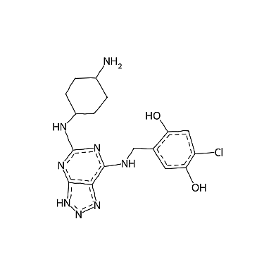 NC1CCC(Nc2nc(NCc3cc(O)c(Cl)cc3O)c3nn[nH]c3n2)CC1